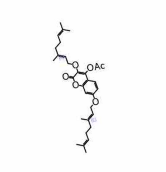 CC(=O)Oc1c(OC/C=C(\C)CCC=C(C)C)c(=O)oc2cc(OC/C=C(\C)CCC=C(C)C)ccc12